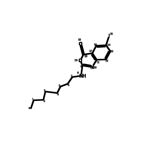 CCCCCCCCNc1nc2ccc(I)cc2c(=O)o1